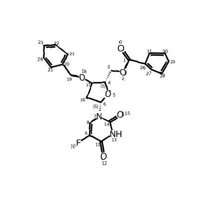 O=C(OC[C@@H]1O[C@H](n2cc(F)c(=O)[nH]c2=O)CC1OCc1ccccc1)c1ccccc1